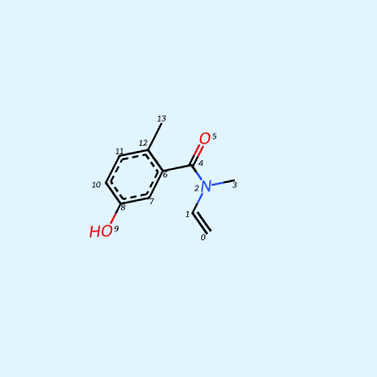 C=CN(C)C(=O)c1cc(O)ccc1C